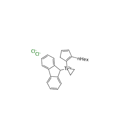 CCCCCCC1=[C]([Ti+2]2([CH]3c4ccccc4-c4ccccc43)[CH2][CH2]2)CC=C1.[Cl-].[Cl-]